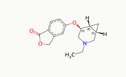 CCN1C[C@H]2C[C@H]2[C@H](Oc2ccc3c(c2)COC3=O)C1